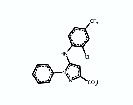 O=C(O)c1cc(Nc2ccc(C(F)(F)F)cc2Cl)n(-c2ccccc2)n1